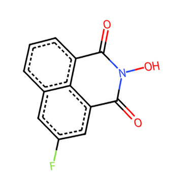 O=C1c2cccc3cc(F)cc(c23)C(=O)N1O